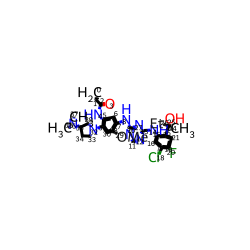 C=CC(=O)Nc1cc(Nc2ncnc(Nc3cc(Cl)c(F)cc3C(C)(O)CC)n2)c(OC)cc1N1CCC(N(C)C)C1